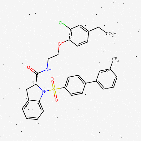 O=C(O)Cc1ccc(OCCNC(=O)[C@@H]2Cc3ccccc3N2S(=O)(=O)c2ccc(-c3cccc(C(F)(F)F)c3)cc2)c(Cl)c1